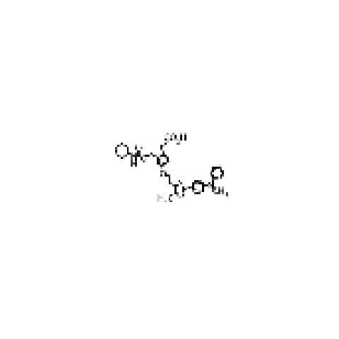 Cc1oc(-c2ccc(N(C)c3ccccc3)cc2)nc1CCOc1ccc(CCC(=O)O)c(COC(=O)NC2CCCCC2)c1